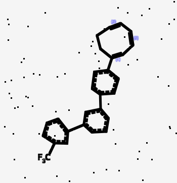 FC(F)(F)c1cccc(-c2cccc(-c3ccc(/C4=C/C=C\C=C/CC4)cc3)c2)c1